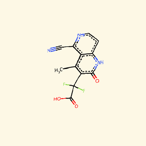 Cc1c(C(F)(F)C(=O)O)c(=O)[nH]c2ccnc(C#N)c12